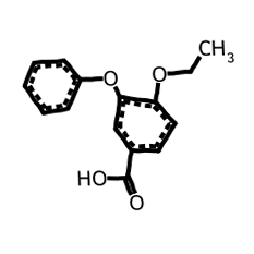 CCOc1ccc(C(=O)O)cc1Oc1ccccc1